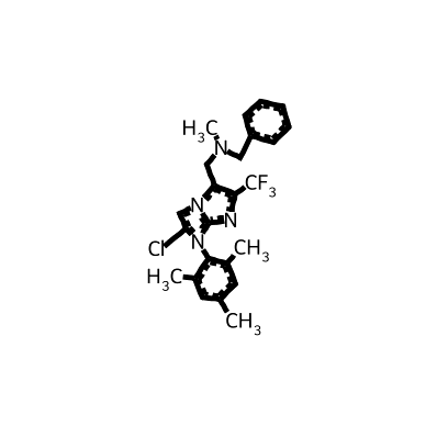 Cc1cc(C)c(-n2c(Cl)cn3c(CN(C)Cc4ccccc4)c(C(F)(F)F)nc23)c(C)c1